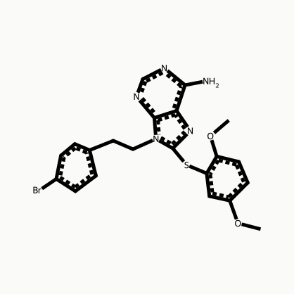 COc1ccc(OC)c(Sc2nc3c(N)ncnc3n2CCc2ccc(Br)cc2)c1